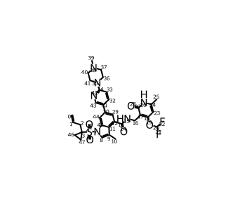 C=CCC1(S(=O)(=O)n2cc(C)c3c(C(=O)NCc4c(OC(F)F)cc(C)[nH]c4=O)cc(-c4ccc(N5CCN(C)CC5)nc4)cc32)CC1